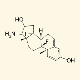 C[C@]12C=CC(O)=CC1=CC[C@H]1[C@@H]3CC(O)C(N)[C@@]3(C)CC[C@]12F